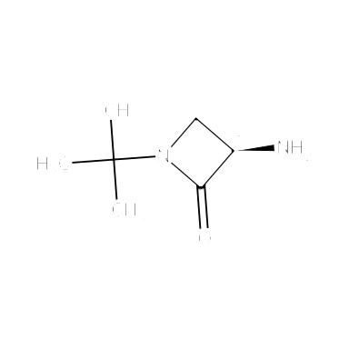 CC(C)(C)N1C[C@@H](N)C1=O